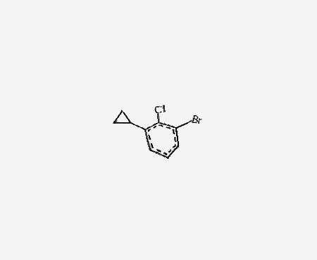 Clc1c(Br)cccc1C1CC1